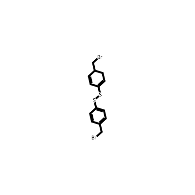 BrCc1ccc(SSC2=CCC(CBr)C=C2)cc1